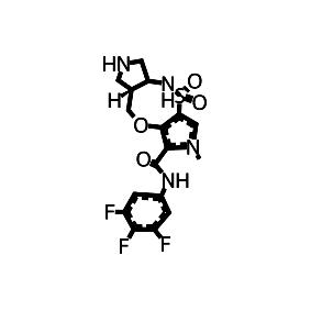 Cn1cc2c(c1C(=O)Nc1cc(F)c(F)c(F)c1)OC[C@@H]1CNCC1NS2(=O)=O